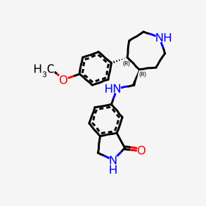 COc1ccc([C@@H]2CCNCC[C@H]2CNc2ccc3c(c2)C(=O)NC3)cc1